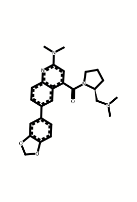 CN(C)C[C@@H]1CCCN1C(=O)c1cc(N(C)C)nc2ccc(-c3ccc4c(c3)OCO4)cc12